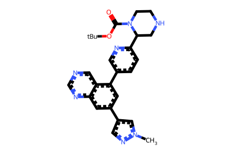 Cn1cc(-c2cc(-c3ccc(C4CNCCN4C(=O)OC(C)(C)C)nc3)c3cncnc3c2)cn1